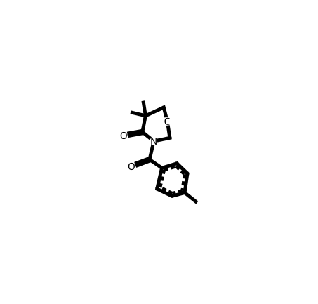 Cc1ccc(C(=O)N2CCCC(C)(C)C2=O)cc1